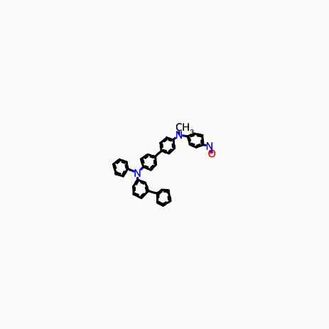 CN(c1ccc(N=O)cc1)c1ccc(-c2ccc(N(c3ccccc3)c3cccc(-c4ccccc4)c3)cc2)cc1